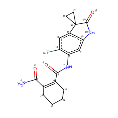 NC(=O)C1=C(C(=O)Nc2cc3c(cc2F)C2(CC2)C(=O)N3)CCCC1